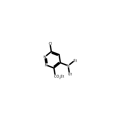 CCOC(=O)c1nnc(Cl)cc1N(CC)CC